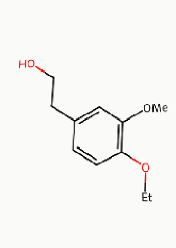 CCOc1ccc(CCO)cc1OC